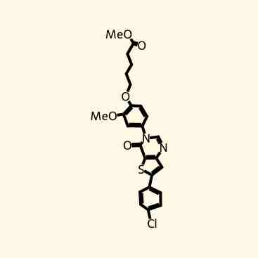 COC(=O)CCCCOc1ccc(-n2cnc3cc(-c4ccc(Cl)cc4)sc3c2=O)cc1OC